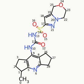 CC1CCc2c1nc1c(c2NC(=O)NS(=O)(=O)c2cc3n(n2)CCOC3)CCC1